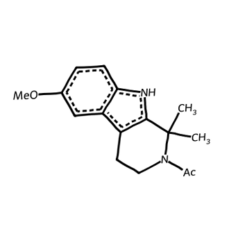 COc1ccc2[nH]c3c(c2c1)CCN(C(C)=O)C3(C)C